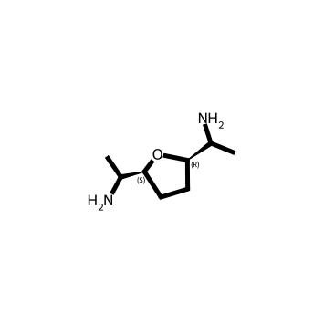 CC(N)[C@@H]1CC[C@H](C(C)N)O1